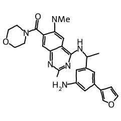 CNc1cc2c(NC(C)c3cc(N)cc(-c4ccoc4)c3)nc(C)nc2cc1C(=O)N1CCOCC1